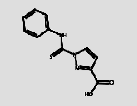 O=C(O)c1ccn(C(=S)Nc2ccccc2)n1